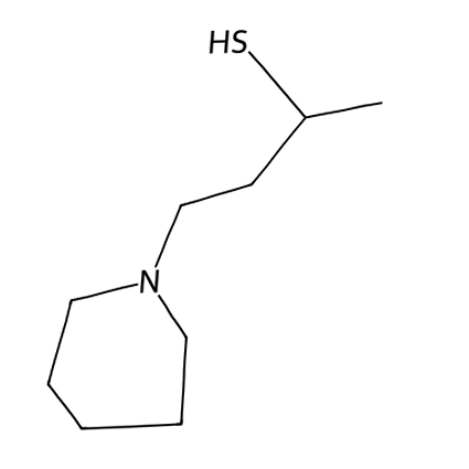 CC(S)CCN1CCCCC1